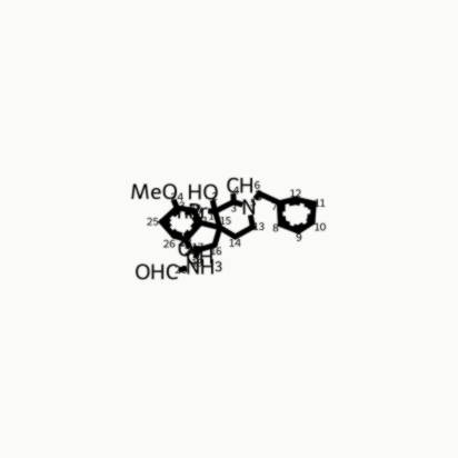 CCCC1(O)C(C)N(Cc2ccccc2)CCC1(CC(=O)NC=O)c1cc(OC)ccc1C